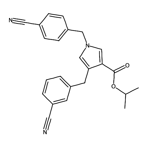 CC(C)OC(=O)c1cn(Cc2ccc(C#N)cc2)cc1Cc1cccc(C#N)c1